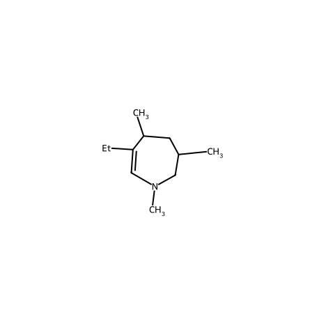 CCC1=CN(C)CC(C)CC1C